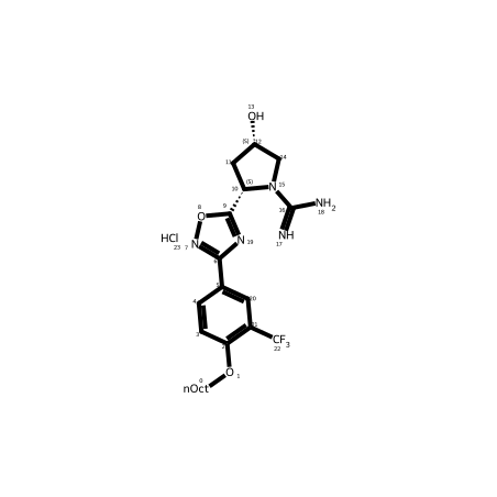 CCCCCCCCOc1ccc(-c2noc([C@@H]3C[C@H](O)CN3C(=N)N)n2)cc1C(F)(F)F.Cl